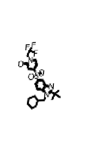 CC(C)(C)c1nc2cc(S(=O)(=O)c3ccn(CC(F)(F)F)c(=O)c3)ccc2n1CC1CCCCC1